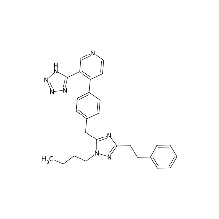 CCCCn1nc(CCc2ccccc2)nc1Cc1ccc(-c2ccncc2-c2nnn[nH]2)cc1